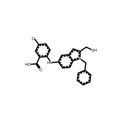 O=C(O)c1cc(Cl)ccc1Nc1ccc2c(c1)cc(CO)n2Cc1ccccc1